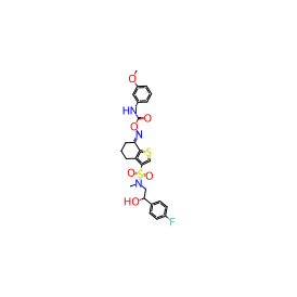 COc1cccc(NC(=O)ON=C2CCCc3c(S(=O)(=O)N(C)CC(O)c4ccc(F)cc4)csc32)c1